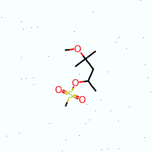 COC(C)(C)CC(C)OS(C)(=O)=O